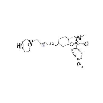 CN(C[C@H]1CC[C@H](COC/C=C/CN2CCNCC2)CC1)S(=O)(=O)c1ccc(C(F)(F)F)cc1